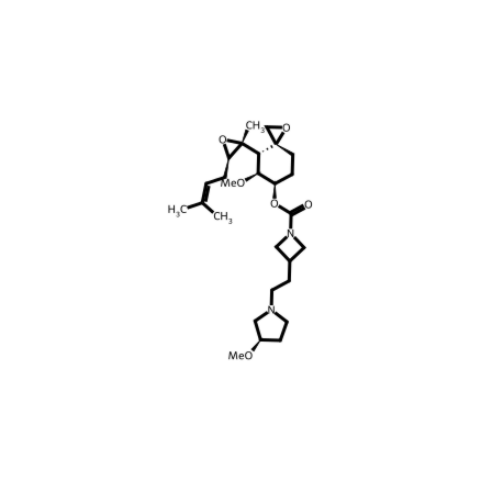 CO[C@@H]1CCN(CCC2CN(C(=O)O[C@@H]3CC[C@]4(CO4)[C@@H]([C@@]4(C)O[C@@H]4CC=C(C)C)[C@@H]3OC)C2)C1